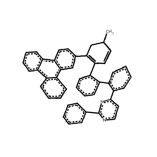 CC1C=CC(c2ccccc2-c2ccccc2-c2ccnc(-c3ccccc3)n2)=C(c2ccc3c4ccccc4c4ccccc4c3c2)C1